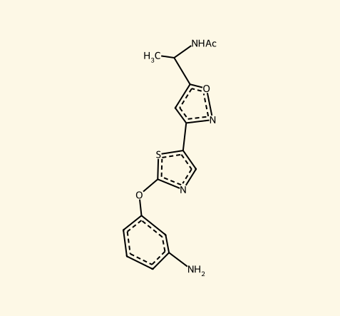 CC(=O)NC(C)c1cc(-c2cnc(Oc3cccc(N)c3)s2)no1